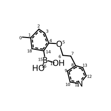 Cc1ccc(OCCc2ccncc2)c(B(O)O)c1